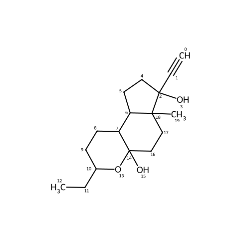 C#CC1(O)CCC2C3CCC(CC)OC3(O)CCC21C